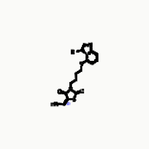 CCC/C=C1/SC(=O)N(CCCCSc2cccc3ncc(Br)n23)C1=O